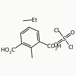 CCC.Cc1c(C(=O)O)cccc1C(=O)O.O=S(=O)(Cl)Cl